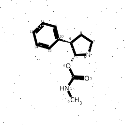 CNC(=O)O[C@H]1[N]CC[C@@H]1c1ccccc1